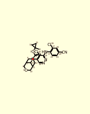 CC1(OC(=O)N2CC3COCC(C2)C3Oc2cnnc(Nc3ccc(C#N)cc3Cl)c2Cl)CC1